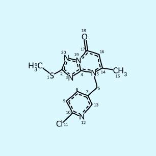 CSc1nc2n(Cc3ccc(Cl)nc3)c(C)cc(=O)n2n1